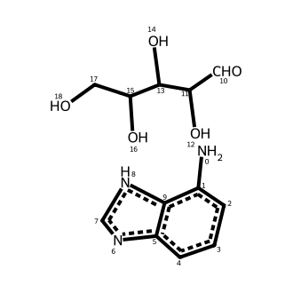 Nc1cccc2nc[nH]c12.O=CC(O)C(O)C(O)CO